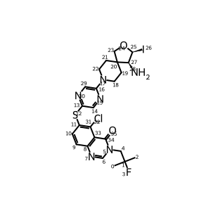 CC(C)(F)Cn1cnc2ccc(Sc3cnc(N4CCC5(CC4)CO[C@@H](I)[C@H]5N)cn3)c(Cl)c2c1=O